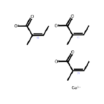 C/C=C(/C)C(=O)[O-].C/C=C(/C)C(=O)[O-].C/C=C(/C)C(=O)[O-].[Ga+3]